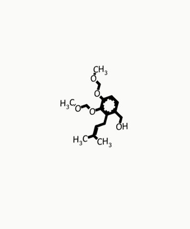 COCOc1ccc(CO)c(CC=C(C)C)c1OCOC